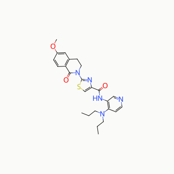 CCCN(CCC)c1ccncc1NC(=O)c1csc(N2CCc3cc(OC)ccc3C2=O)n1